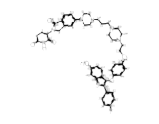 O=C1CCC(N2Cc3cc(N4CCN(CCCN5CCN(CCOc6ccc(Oc7c(-c8ccc(F)cc8)sc8cc(O)ccc78)cc6)CC5)CC4)ccc3C2=O)C(=O)N1